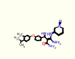 Cc1cc(Oc2cccc(C(=N)/C(C(N)=O)=C(/N)NC3CCCN(C#N)C3)c2)ccc1C(C)C